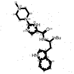 CCCCC(Cc1c[nH]c2ccccc12)NC(=O)c1cnc(N2CCN(C)CC2)[nH]1